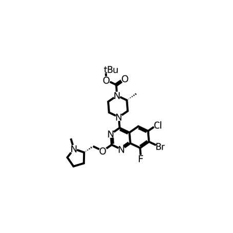 C[C@@H]1CN(c2nc(OC[C@@H]3CCCN3C)nc3c(F)c(Br)c(Cl)cc23)CCN1C(=O)OC(C)(C)C